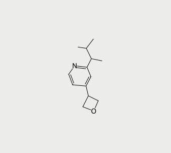 CC(C)C(C)c1cc(C2COC2)ccn1